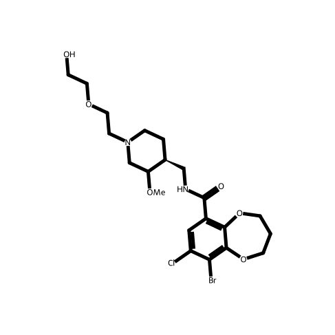 COC1CN(CCOCCO)CC[C@H]1CNC(=O)c1cc(Cl)c(Br)c2c1OCCCO2